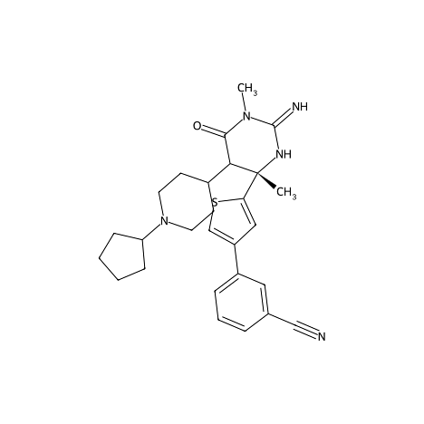 CN1C(=N)N[C@](C)(c2cc(-c3cccc(C#N)c3)cs2)C(C2CCN(C3CCCC3)CC2)C1=O